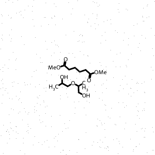 CC(O)COC(C)CO.COC(=O)CCCCC(=O)OC